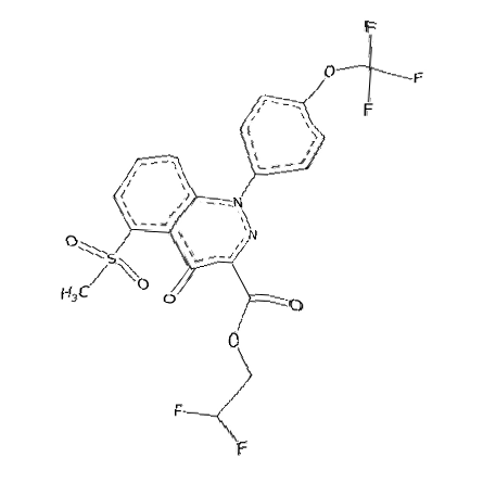 CS(=O)(=O)c1cccc2c1c(=O)c(C(=O)OCC(F)F)nn2-c1ccc(OC(F)(F)F)cc1